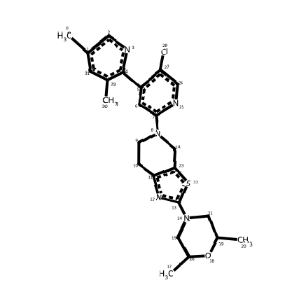 Cc1cnc(-c2cc(N3CCc4nc(N5CC(C)OC(C)C5)sc4C3)ncc2Cl)c(C)c1